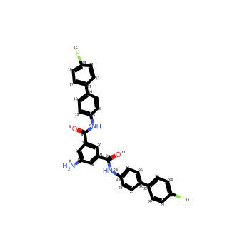 Nc1cc(C(=O)Nc2ccc(-c3ccc(F)cc3)cc2)cc(C(=O)Nc2ccc(-c3ccc(F)cc3)cc2)c1